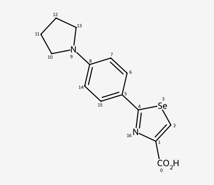 O=C(O)c1c[se]c(-c2ccc(N3CCCC3)cc2)n1